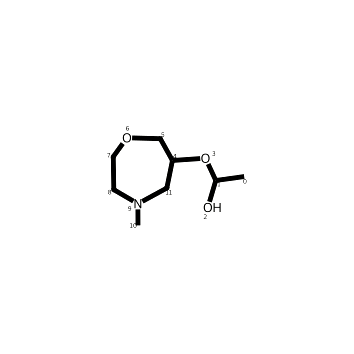 CC(O)OC1COCCN(C)C1